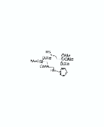 CO[Si](CCCNc1ccccc1)(OC)OC.CO[Si](CCCS)(OC)OC